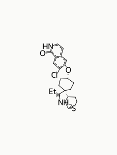 CC[C@@H](N)[C@]1(C2CCSCC2)CC[C@@H](Oc2cc3cc[nH]c(=O)c3cc2Cl)CC1